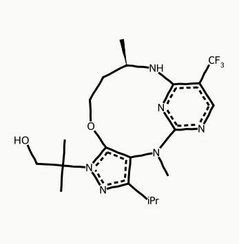 CC(C)c1nn(C(C)(C)CO)c2c1N(C)c1ncc(C(F)(F)F)c(n1)N[C@H](C)CCO2